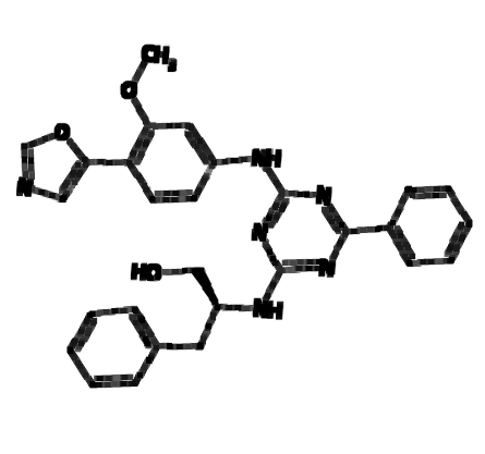 COc1cc(Nc2nc(N[C@H](CO)Cc3ccccc3)nc(-c3ccccc3)n2)ccc1-c1cnco1